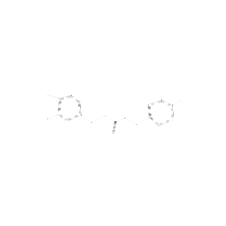 O=C(CCc1ccc(F)c(Cl)c1)CCc1ccc(F)c(Cl)c1